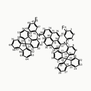 Fc1cccc(N(c2cccc3c2-c2ccccc2C32c3ccccc3-c3ccccc32)c2ccc3ccc4c(N(c5cccc(F)c5)c5cccc6c5-c5ccccc5C65c6ccccc6-c6ccccc65)ccc5ccc2c3c54)c1